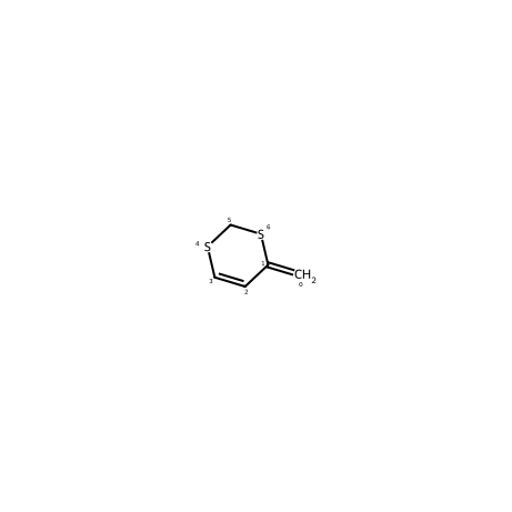 C=C1C=CSCS1